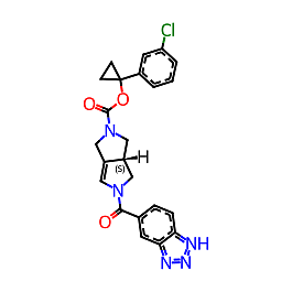 O=C(c1ccc2[nH]nnc2c1)N1C=C2CN(C(=O)OC3(c4cccc(Cl)c4)CC3)C[C@@H]2C1